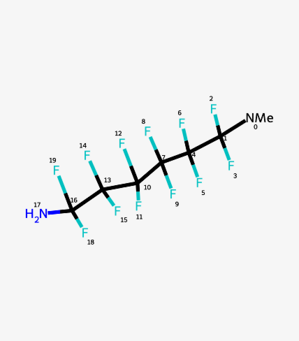 CNC(F)(F)C(F)(F)C(F)(F)C(F)(F)C(F)(F)C(N)(F)F